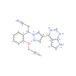 N#CCOc1ccccc1C(CC#N)n1cc(-c2ncnc3[nH]ccc23)cn1